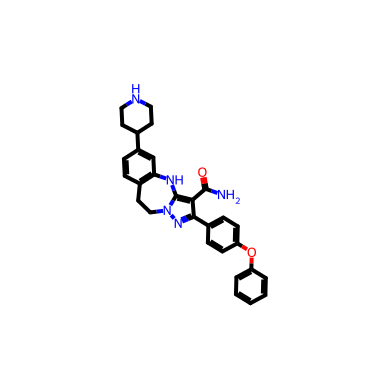 NC(=O)c1c(-c2ccc(Oc3ccccc3)cc2)nn2c1Nc1cc(C3CCNCC3)ccc1CC2